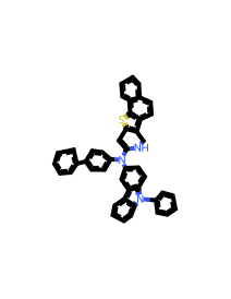 C1=C(N(c2ccc(-c3ccccc3)cc2)c2ccc3c(c2)c2ccccc2n3-c2ccccc2)NCc2c1sc1c2ccc2ccccc21